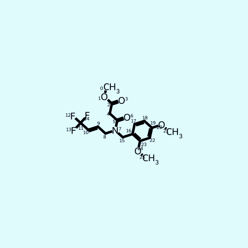 COC(=O)CC(=O)N(C/C=C/C(F)(F)F)Cc1ccc(OC)cc1OC